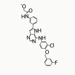 COCC(=O)Nc1cccc(-c2cc3ncnc(Nc4ccc(OCc5cccc(F)c5)c(Cl)c4)c3[nH]2)c1